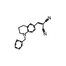 N#CC(C#N)=Cc1ccc2c(c1)CCCN2Cc1ccccc1